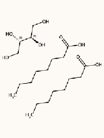 CCCCCCCC(=O)O.CCCCCCCC(=O)O.OC[C@@H](O)[C@@H](O)CO